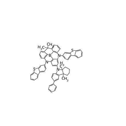 CC1(C)c2cccc3c2B2c4c(cc(N5c6ccc(-c7ccccc7)cc6C6(C)CCCCC56C)cc4N(c4ccc5c(c4)sc4ccccc45)c4cccc1c42)N3c1ccc2c(c1)sc1ccccc12